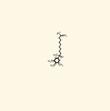 CCC(C)(CCCCCCCCC(N)C(C)C)c1cc(C)c(N)c(C)c1